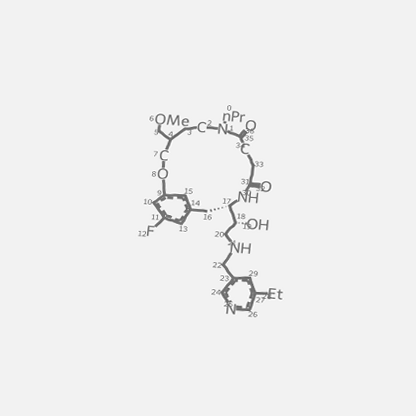 CCCN1CCC(COC)COc2cc(F)cc(c2)C[C@@H]([C@H](O)CNCc2cncc(CC)c2)NC(=O)CCC1=O